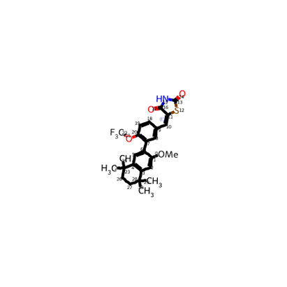 COc1cc2c(cc1-c1cc(/C=C3/SC(=O)NC3=O)ccc1OC(F)(F)F)C(C)(C)CCC2(C)C